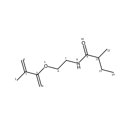 C=C(C)C(=C)OCCNC(=O)C(C)CC